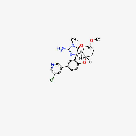 CCO[C@@H]1CC[C@@H]2Oc3ccc(-c4cncc(Cl)c4)cc3[C@]3(N=C(N)N(C)C3=O)[C@H]2C1